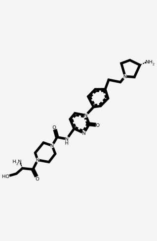 N[C@H]1CCN(CCc2ccc(-n3ccc(NC(=O)N4CCN(C(=O)[C@@H](N)CO)CC4)nc3=O)cc2)C1